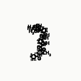 C[C@@H]1CN(C(=O)c2ccccc2)CCN1C(=O)C(=O)c1c[nH]c2c(NC(=O)Nc3cccc(B4OC(C)(C)C(C)(C)O4)c3)cccc12